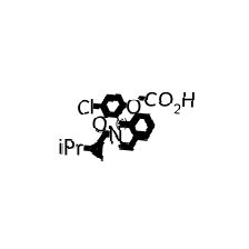 CC(C)C1CC1C(=O)N1CCc2ccccc2[C@H]1c1cc(Cl)ccc1OCC(=O)O